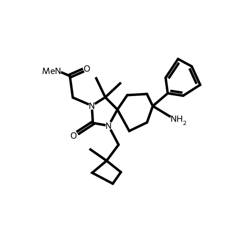 CNC(=O)CN1C(=O)N(CC2(C)CCC2)C2(CCC(N)(c3ccccc3)CC2)C1(C)C